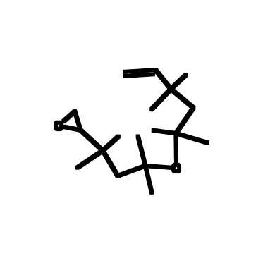 C=CC(C)(C)CC(C)(C)OC(C)(C)CC(C)(C)C1CO1